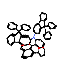 c1ccc(C2(c3ccccc3)c3ccccc3-c3ccc(N(c4ccc5c(c4)C(c4ccccc4)(c4ccccc4)c4ccccc4-5)c4ccccc4-c4cccc5cccc(C6CCCCC6)c45)cc32)cc1